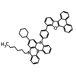 CCCCCCN1c2ccccc2B2c3ccccc3N(c3ccc(-c4cccc5c4oc4c6ccccc6c6ccccc6c54)cc3)c3cc(C4CCCCC4)cc1c32